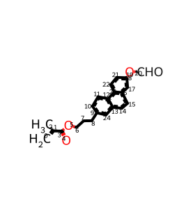 C=C(C)C(=O)OCCCc1ccc2c(ccc3cc(OC=O)ccc32)c1